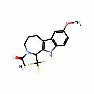 COc1ccc2[nH]c3c(c2c1)CCCN(C(C)=O)C3C(F)(F)F